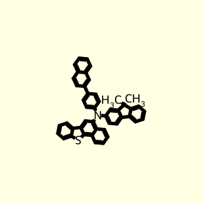 CC1(C)c2ccccc2-c2ccc(N(c3ccc(-c4ccc5ccccc5c4)cc3)c3cc4c5ccccc5sc4c4ccccc34)cc21